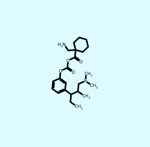 CCC(c1cccc(OC(=O)OC(=O)C2(CN)CCCCC2)c1)C(C)CN(C)C